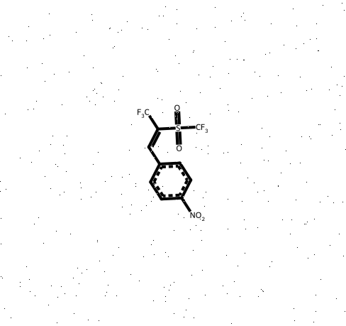 O=[N+]([O-])c1ccc(/C=C(/C(F)(F)F)S(=O)(=O)C(F)(F)F)cc1